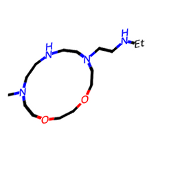 CCNCCN1CCNCCN(C)CCOCCOCC1